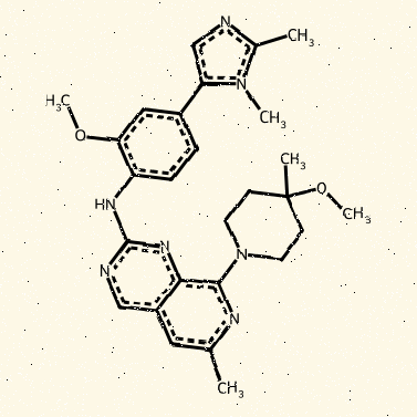 COc1cc(-c2cnc(C)n2C)ccc1Nc1ncc2cc(C)nc(N3CCC(C)(OC)CC3)c2n1